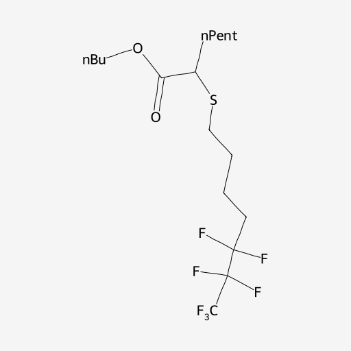 CCCCCC(SCCCCC(F)(F)C(F)(F)C(F)(F)F)C(=O)OCCCC